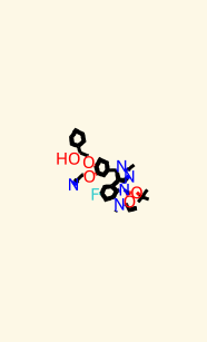 C=CCN(C)c1cc(F)cc2c3c(-c4ccc(OCC(O)c5ccccc5)c(OCC#N)c4)nc(C)nc3n(C(=O)OC(C)(C)C)c12